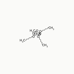 CCCCCCCOC(=O)CC(CC(=O)OCCCCCCC)(OC(C)=O)C(=O)OCCCCCCC